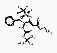 CCOC(=O)/C=C(\OS(=O)(=O)C(F)(F)F)[C@H](Cc1ccccc1)NC(=O)OC(C)(C)C